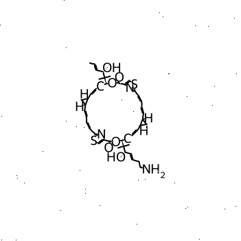 C/C=C/[C@H](O)C(C)(C)[C@@H]1C/C=C\[C@H]2C[C@H]2/C=C/C=C\c2nc(cs2)C(=O)O[C@H](C(C)(C)[C@@H](O)/C=C/CCN)C/C=C\[C@H]2C[C@H]2/C=C/C=C\c2nc(cs2)C(=O)O1